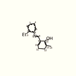 CCc1ccccc1/N=C/C1=CCCC(C)=C1O